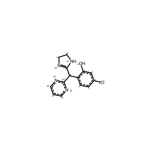 Oc1cc(Cl)ccc1C(C1=NCCN1)c1ncccn1